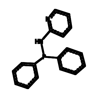 c1ccc(P(Nc2ccccn2)c2ccccc2)cc1